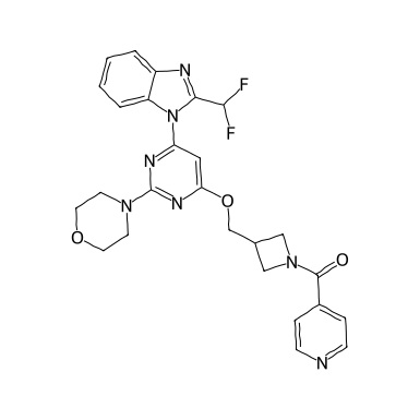 O=C(c1ccncc1)N1CC(COc2cc(-n3c(C(F)F)nc4ccccc43)nc(N3CCOCC3)n2)C1